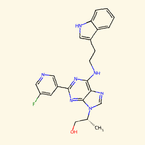 C[C@H](CO)n1cnc2c(NCCc3c[nH]c4ccccc34)nc(-c3cncc(F)c3)nc21